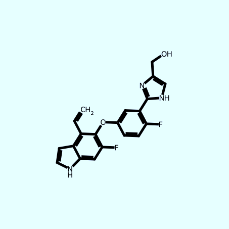 C=Cc1c(Oc2ccc(F)c(-c3nc(CO)c[nH]3)c2)c(F)cc2[nH]ccc12